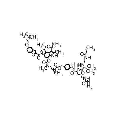 CCCC(=O)NCCN[C@H](C(=O)NC(CCCNC(N)=O)C(=O)Nc1ccc(COC(=O)N(C)CCN(C)C(=O)Oc2cc3c(c4c(C(=O)OC)c(C)[nH]c24)[C@H](CC)CN3C(=O)c2cc3cc(OCCN(C)C)ccc3o2)cc1)C(C)C